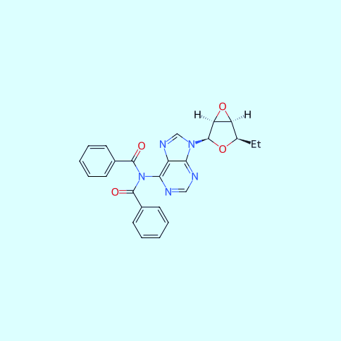 CC[C@H]1O[C@@H](n2cnc3c(N(C(=O)c4ccccc4)C(=O)c4ccccc4)ncnc32)[C@H]2O[C@H]21